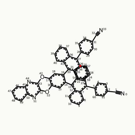 N#Cc1ccc(-c2c3ccccc3c(-c3cc4c(cc3-c3c5ccccc5c(-c5ccc(C#N)cc5)c5ccccc35)Oc3nc5ccccc5nc3O4)c3ccccc23)cc1